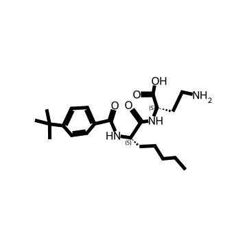 CCCCC[C@H](NC(=O)c1ccc(C(C)(C)C)cc1)C(=O)N[C@@H](CCN)C(=O)O